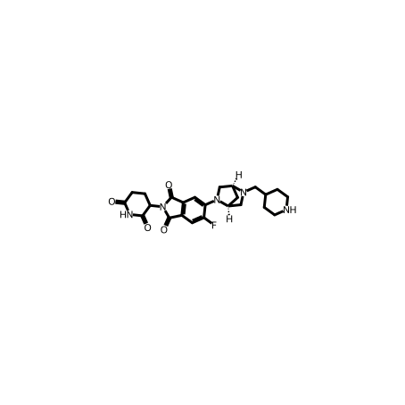 O=C1CCC(N2C(=O)c3cc(F)c(N4C[C@@H]5C[C@H]4CN5CC4CCNCC4)cc3C2=O)C(=O)N1